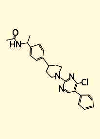 CC(=O)NC(C)c1ccc(C2CCN(c3ncc(-c4ccccc4)c(Cl)n3)CC2)cc1